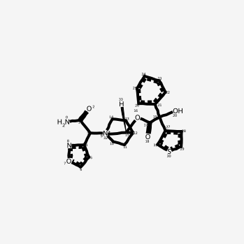 NC(=O)C(c1ccon1)[N+]12CCC(CC1)[C@@H](OC(=O)C(O)(c1ccccc1)c1ccsc1)C2